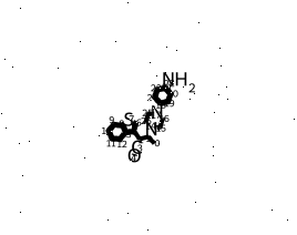 CC(C(=C=O)c1csc2ccccc12)N1CCN(c2ccc(N)cc2)CC1